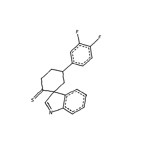 Fc1ccc(C2CCC(=S)C3(C=Nc4ccccc43)C2)cc1F